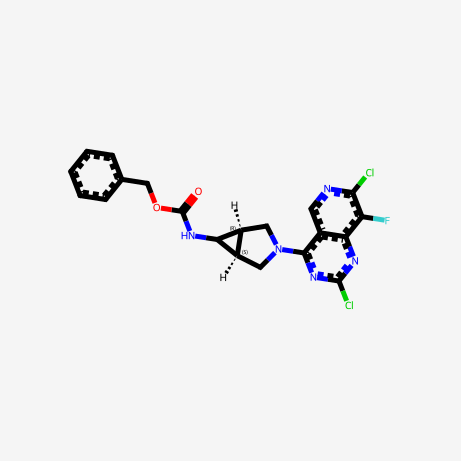 O=C(NC1[C@H]2CN(c3nc(Cl)nc4c(F)c(Cl)ncc34)C[C@@H]12)OCc1ccccc1